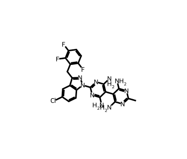 Cc1nc(N)c(-c2c(N)nc(-n3nc(Cc4c(F)ccc(F)c4F)c4cc(Cl)ccc43)nc2N)c(N)n1